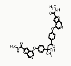 CNC(=O)c1cc2c(Oc3ccc(C(=O)CC(C)(O)c4ccc(Oc5cncc6sc(C(=O)NC)cc56)cc4)cc3)cncc2s1